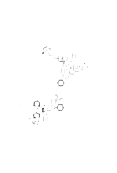 Cc1cccc(-c2nc(CNc3cccc4c3CN(C(=O)OCc3ccc(NC(=O)C(CCCNC(N)=O)NC(=O)[C@@H](NC(=O)CCCCCN5C(=O)C=CC5=O)C(C)C)cc3)CC4)[nH]c2-c2ccc3ncnn3c2)n1